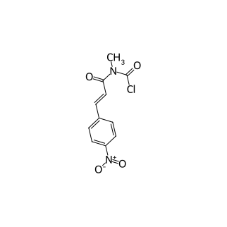 CN(C(=O)Cl)C(=O)C=Cc1ccc([N+](=O)[O-])cc1